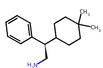 CC1(C)CCC([C@@H](CN)c2ccccc2)CC1